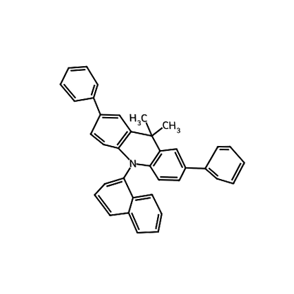 CC1(C)c2cc(-c3ccccc3)ccc2N(c2cccc3ccccc23)c2ccc(-c3ccccc3)cc21